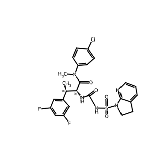 C[C@H](c1cc(F)cc(F)c1)[C@H](NC(=O)NS(=O)(=O)N1CCc2cccnc21)C(=O)N(C)c1ccc(Cl)cc1